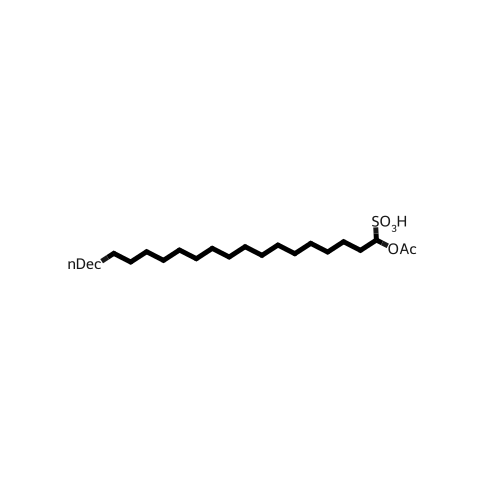 CCCCCCCCCCCCCCCCCCCCCCCCCCC(OC(C)=O)S(=O)(=O)O